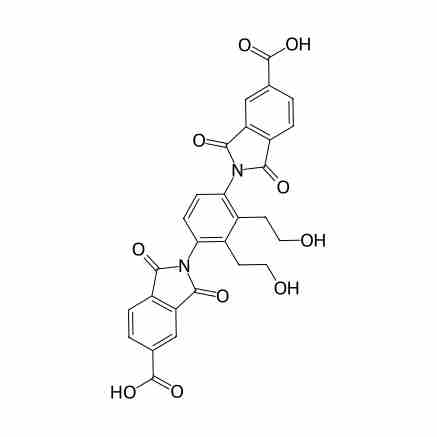 O=C(O)c1ccc2c(c1)C(=O)N(c1ccc(N3C(=O)c4ccc(C(=O)O)cc4C3=O)c(CCO)c1CCO)C2=O